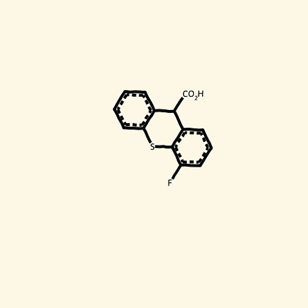 O=C(O)C1c2ccccc2Sc2c(F)cccc21